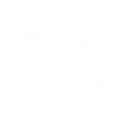 CCOC(=O)Cc1csc2c(F)c(O)cc(Cl)c12